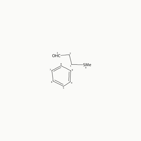 CSCCC=O.c1ccccc1